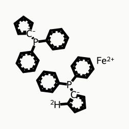 [2H]c1ccc[c-]1P(c1ccccc1)c1ccccc1.[Fe+2].c1ccc(P(c2ccccc2)[c-]2cccc2)cc1